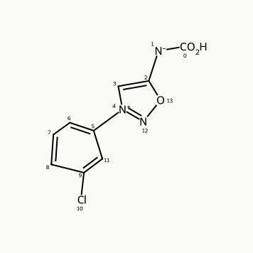 O=C(O)[N-]c1c[n+](-c2cccc(Cl)c2)no1